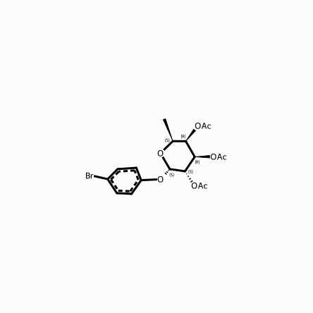 CC(=O)O[C@H]1[C@H](OC(C)=O)[C@H](Oc2ccc(Br)cc2)O[C@@H](C)[C@H]1OC(C)=O